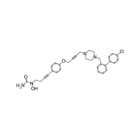 NC(=O)N(O)CCC#Cc1ccc(OCC#CCN2CCN(Cc3ccccc3-c3ccc(Cl)cc3)CC2)cc1